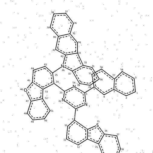 c1ccc2cc(-c3nc(-c4cccc5c4sc4ccccc45)nc(-c4c(-n5c6ccccc6c6cc7ccccc7cc65)ccc5oc6ccccc6c45)n3)ccc2c1